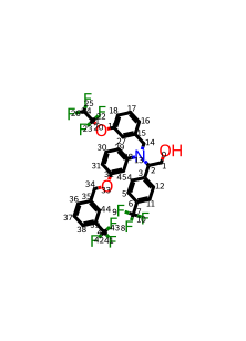 OCC(c1ccc(C(F)(F)F)cc1)N(Cc1cccc(OC(F)(F)C(F)F)c1)c1cccc(OCc2cccc(C(F)(F)F)c2)c1